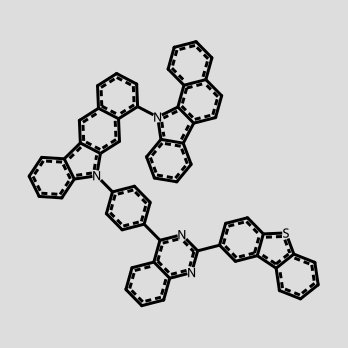 c1cc(-n2c3ccccc3c3ccc4ccccc4c32)c2cc3c(cc2c1)c1ccccc1n3-c1ccc(-c2nc(-c3ccc4sc5ccccc5c4c3)nc3ccccc23)cc1